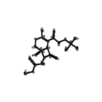 O=C(CCl)NC1C(=O)N2C(C(=O)OCC(Cl)(Cl)Cl)=C(Br)CS[C@@H]12